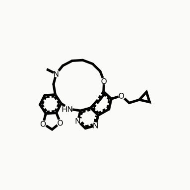 CN1CCCCCOc2cc3c(ncnc3cc2OCC2CC2)Nc2c(ccc3c2OCO3)C1